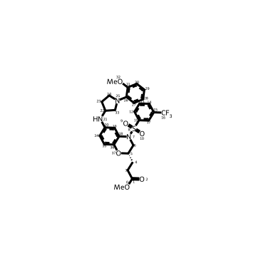 COC(=O)CC[C@H]1CN(S(=O)(=O)c2cccc(C(F)(F)F)c2)c2cc(NC3CCN(c4ccccc4OC)C3)ccc2O1